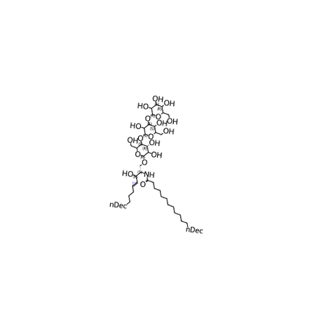 CCCCCCCCCCCCC/C=C/[C@@H](O)[C@H](CO[C@@H]1OC(CO)[C@@H](O[C@@H]2OC(CO)[C@H](O)[C@H](O[C@H]3OC(CO)[C@H](O)[C@H](O)C3O)C2O)[C@H](O)C1O)NC(=O)CCCCCCCCCCCCCCCCCCCCC